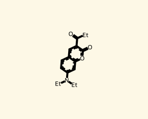 CCC(=O)c1cc2ccc(N(CC)CC)cc2oc1=O